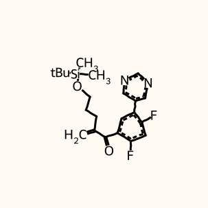 C=C(CCCO[Si](C)(C)C(C)(C)C)C(=O)c1cc(-c2cncnc2)c(F)cc1F